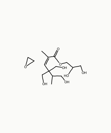 C1CO1.CC(=CC(CO)(CO)C(C)CO)C(=O)OCC(O)CO